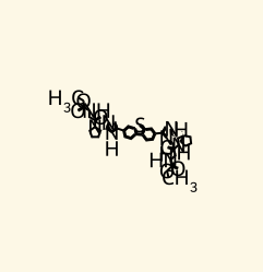 COC(=O)NCC(=O)N1CCC[C@H]1c1ncc(-c2ccc3c(c2)sc2cc(-c4cnc([C@@H]5[C@H]6CC[C@H](C6)N5C(=O)CNC(=O)OC)[nH]4)ccc23)[nH]1